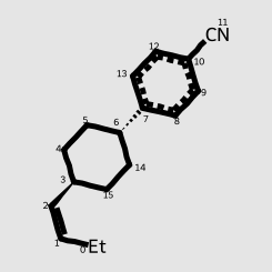 CC/C=C\[C@H]1CC[C@H](c2ccc(C#N)cc2)CC1